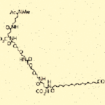 CN[C@@H](CCCCNC(=O)CC[C@H](NC(=O)COCCOCCNC(=O)COCCOCCNC(=O)CCC(NC(=O)CCCCCCCCCCCCCCCCC(=O)O)C(=O)O)C(=O)O)C(C)=O